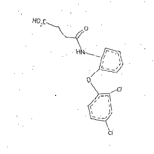 O=C(O)CCC(=O)Nc1ccccc1Oc1ccc(Cl)cc1Cl